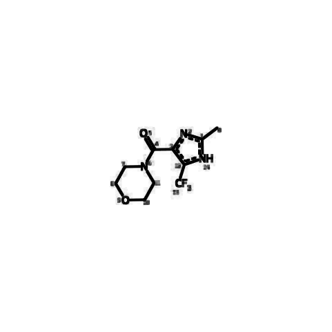 Cc1nc(C(=O)N2CCOCC2)c(C(F)(F)F)[nH]1